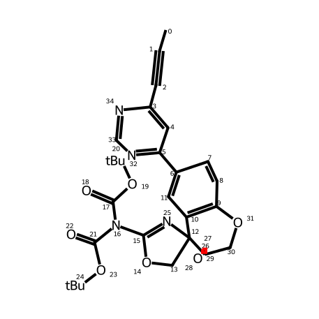 CC#Cc1cc(-c2ccc3c(c2)C2(COC(N(C(=O)OC(C)(C)C)C(=O)OC(C)(C)C)=N2)C2(COC2)CO3)ncn1